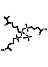 C=C(C)C(=O)OCCC[Si](O[Si](C)(C)C)(O[Si](C)(C)CCCC(=O)O)O[Si](C)(C)CCCC(=O)O